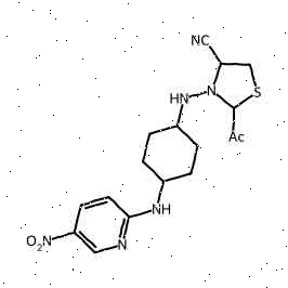 CC(=O)C1SCC(C#N)N1NC1CCC(Nc2ccc([N+](=O)[O-])cn2)CC1